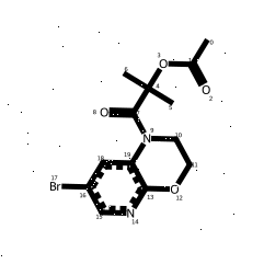 CC(=O)OC(C)(C)C(=O)N1CCOc2ncc(Br)cc21